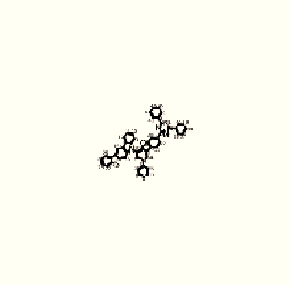 c1ccc(-c2cc(-n3c4ccccc4c4cc5c(cc43)sc3ccccc35)c3oc4cc(-c5nc(-c6ccccc6)nc(-c6ccccc6)n5)ccc4c3c2)cc1